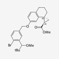 COC(=O)[C@@H]1C[C@]12CCCc1ccc(OCc3ccc(Br)c(C(OC)C(C)(C)C)c3)cc12